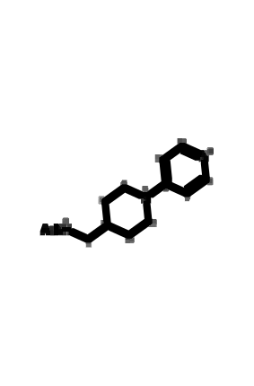 CC(=O)NCC1CCN(c2ccncc2)CC1